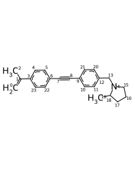 C=C(C)c1ccc(C#Cc2ccc(CN3CCCC3C)cc2)cc1